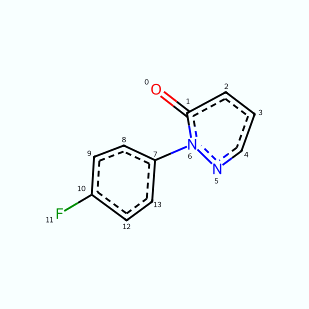 O=c1cccnn1-c1ccc(F)cc1